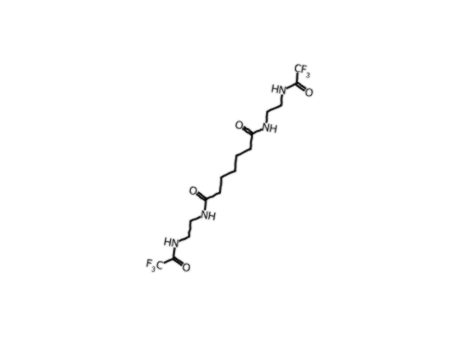 O=C(CCCCCC(=O)NCCNC(=O)C(F)(F)F)NCCNC(=O)C(F)(F)F